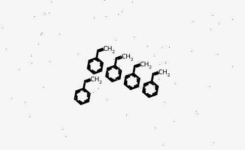 C=Cc1ccccc1.C=Cc1ccccc1.C=Cc1ccccc1.C=Cc1ccccc1.C=Cc1ccccc1